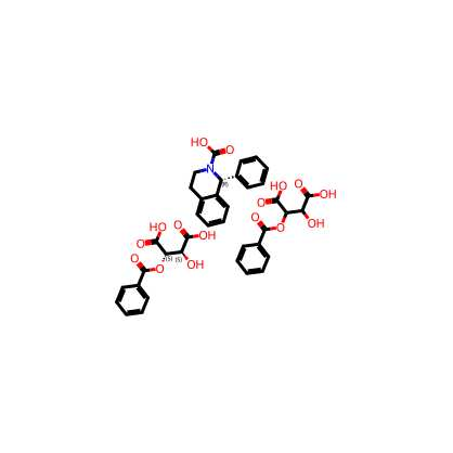 O=C(O)N1CCc2ccccc2[C@H]1c1ccccc1.O=C(OC(C(=O)O)C(O)C(=O)O)c1ccccc1.O=C(O[C@H](C(=O)O)[C@H](O)C(=O)O)c1ccccc1